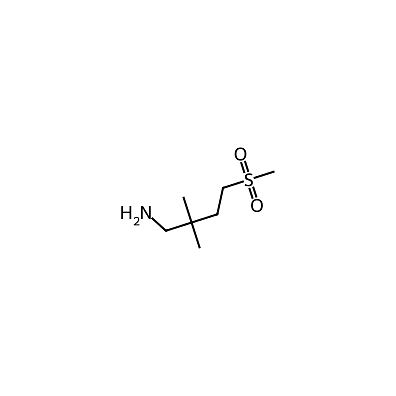 CC(C)(CN)CCS(C)(=O)=O